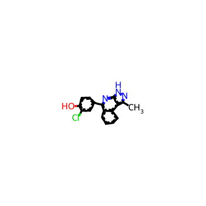 Cc1n[nH]c2nc(-c3ccc(O)c(Cl)c3)c3ccccc3c12